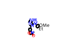 C=C1C(Nc2ccc(CC)c(OC)c2)=NC(c2ccc3c(c2)N(C)C(=O)CO3)=CN1/C=C\N